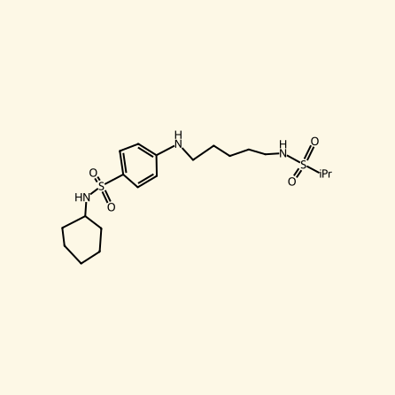 CC(C)S(=O)(=O)NCCCCCNc1ccc(S(=O)(=O)NC2CCCCC2)cc1